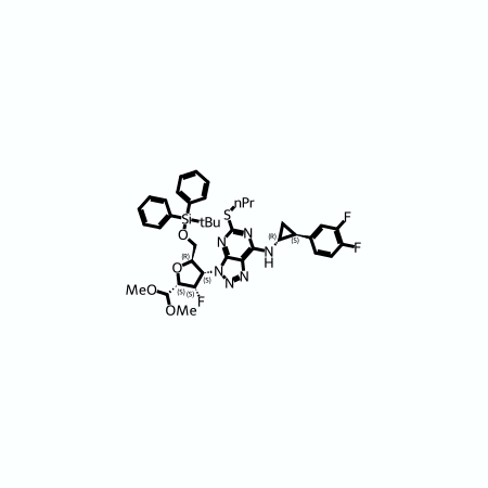 CCCSc1nc(N[C@@H]2C[C@H]2c2ccc(F)c(F)c2)c2nnn([C@@H]3[C@H](F)[C@H](C(OC)OC)O[C@H]3CO[Si](c3ccccc3)(c3ccccc3)C(C)(C)C)c2n1